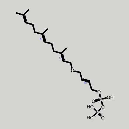 CC(C)=CCC/C(C)=C/CC/C(C)=C/COC/C=C/COP(=O)(O)OP(=O)(O)O